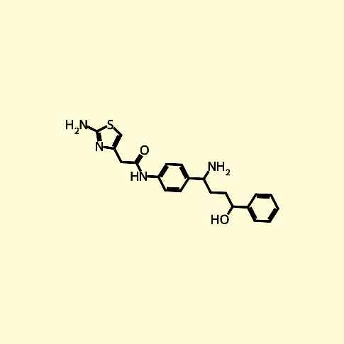 Nc1nc(CC(=O)Nc2ccc(C(N)CCC(O)c3ccccc3)cc2)cs1